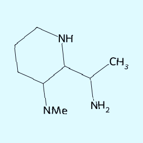 CNC1CCCNC1C(C)N